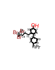 CCCc1ccc(-c2ccc(O)cc2CCC[Si](Br)(Br)Br)cc1